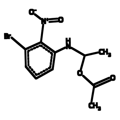 CC(=O)OC(C)Nc1cccc(Br)c1[N+](=O)[O-]